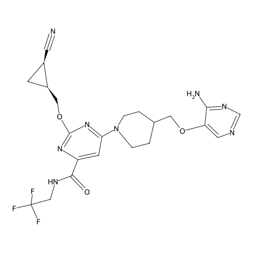 N#C[C@@H]1C[C@@H]1COc1nc(C(=O)NCC(F)(F)F)cc(N2CCC(COc3cncnc3N)CC2)n1